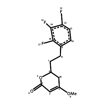 COC1=CC(=O)OC(CCc2ccc(F)c(F)c2F)C1